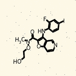 CN(OCCO)C(=O)c1oc2ccncc2c1Nc1ccc(I)cc1F